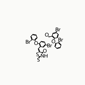 O=C1NC(=S)SC1=Cc1cc(Br)ccc1Oc1ccccc1Br.O=Cc1cc(Br)ccc1Oc1ccccc1Br